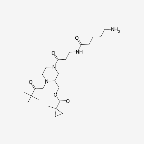 CC(C)(C)C(=O)CN1CCN(C(=O)CCNC(=O)CCCCN)CC1COC(=O)C1(C)CC1